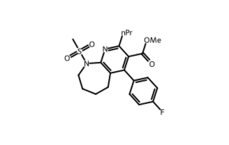 CCCc1nc2c(c(-c3ccc(F)cc3)c1C(=O)OC)CCCCN2S(C)(=O)=O